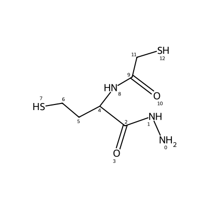 NNC(=O)C(CCS)NC(=O)CS